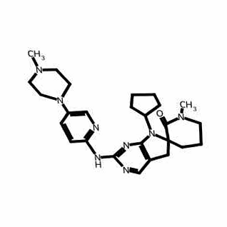 CN1CCN(c2ccc(Nc3ncc4c(n3)N(C3CCCC3)C3(CCCN(C)C3=O)C4)nc2)CC1